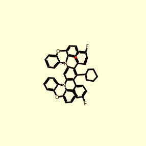 Fc1ccc(-c2c(N3c4ccccc4Oc4ccccc43)cc(N3c4ccccc4Oc4ccccc43)c(-c3ccc(F)cc3)c2C2CCCCC2)cc1